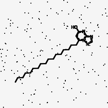 CCCCCCCCCCCCCCCCCc1cc(O)nc2ncnn12